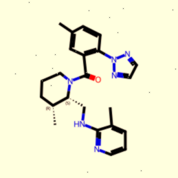 Cc1ccc(-n2nccn2)c(C(=O)N2CCC[C@@H](C)[C@H]2CNc2ncccc2C)c1